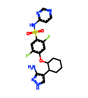 Nc1n[nH]cc1C1CCCCC1Oc1cc(F)c(S(=O)(=O)Nc2ccncn2)cc1F